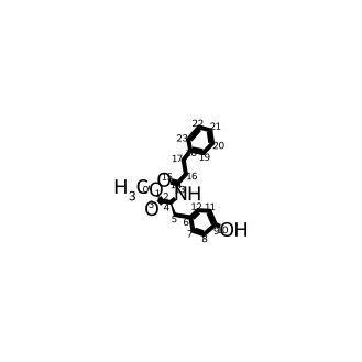 COC(=O)[C@H](Cc1ccc(O)cc1)NC(=O)CCc1ccccc1